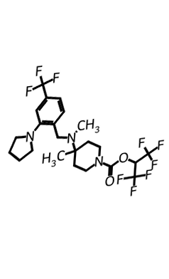 CN(Cc1ccc(C(F)(F)F)cc1N1CCCC1)C1(C)CCN(C(=O)OC(C(F)(F)F)C(F)(F)F)CC1